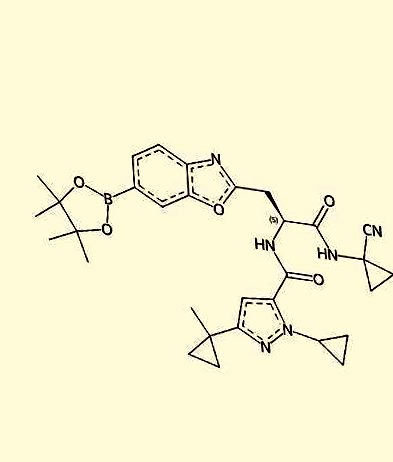 CC1(c2cc(C(=O)N[C@@H](Cc3nc4ccc(B5OC(C)(C)C(C)(C)O5)cc4o3)C(=O)NC3(C#N)CC3)n(C3CC3)n2)CC1